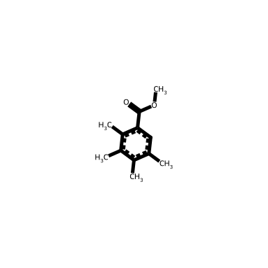 COC(=O)c1cc(C)c(C)c(C)c1C